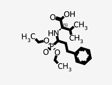 CCOP(=O)(OCC)C(CCc1ccccc1)N[C@H](C(=O)O)C(C)C